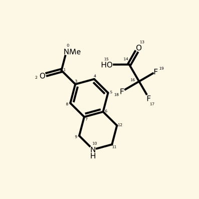 CNC(=O)c1ccc2c(c1)CNCC2.O=C(O)C(F)(F)F